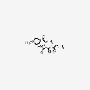 CCC(=O)OC(C)[C@H]1C(=O)N[C@@H]1C(C)C(=O)N1CCN(C)CC1